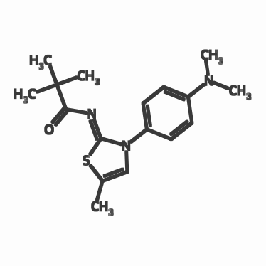 Cc1cn(-c2ccc(N(C)C)cc2)c(=NC(=O)C(C)(C)C)s1